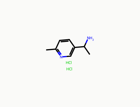 Cc1ccc(C(C)N)cn1.Cl.Cl